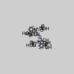 CC1(C)C(/C=C/C=C/C=C2/N(CCCS(=O)(=O)O)c3cccc(C(=O)O)c3C2(C)C)=[N+](CCCS(=O)(=O)O)c2cccc(C(=O)O)c21